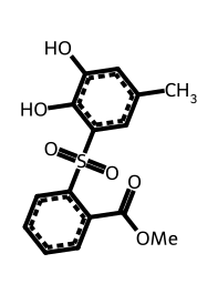 COC(=O)c1ccccc1S(=O)(=O)c1cc(C)cc(O)c1O